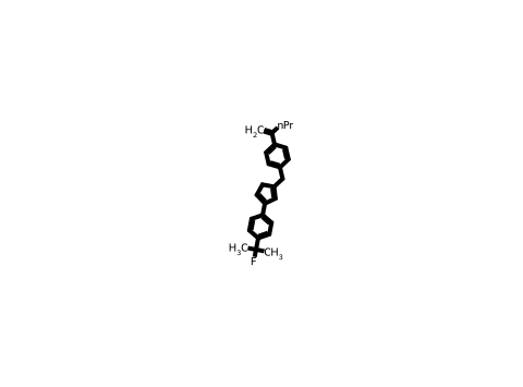 C=C(CCC)c1ccc(CC2=CC(c3ccc(C(C)(C)F)cc3)=CC2)cc1